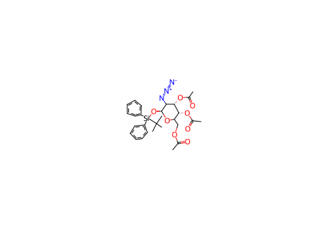 CC(=O)OCC1O[C@@H](O[Si](c2ccccc2)(c2ccccc2)C(C)(C)C)C(N=[N+]=[N-])[C@H](OC(C)=O)[C@@H]1OC(C)=O